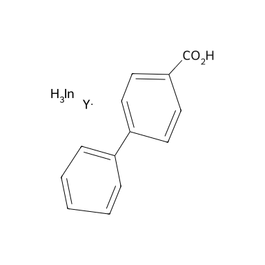 O=C(O)c1ccc(-c2ccccc2)cc1.[InH3].[Y]